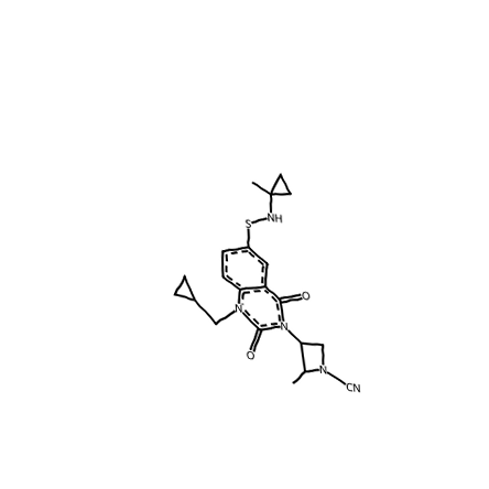 CC1C(n2c(=O)c3cc(SNC4(C)CC4)ccc3n(CC3CC3)c2=O)CN1C#N